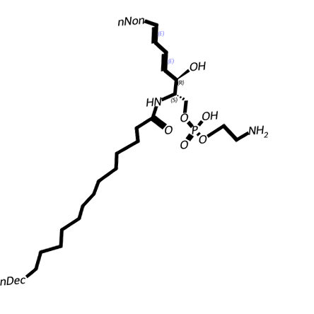 CCCCCCCCC/C=C/C=C/[C@@H](O)[C@H](COP(=O)(O)OCCN)NC(=O)CCCCCCCCCCCCCCCCCCCCCC